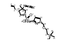 C=CC[C@H]1CN(S(=O)(=O)Nc2ccn(COCC[Si](C)(C)C)n2)CC1(C)N=[N+]=[N-]